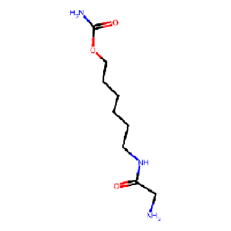 NCC(=O)NCCCCCCOC(N)=O